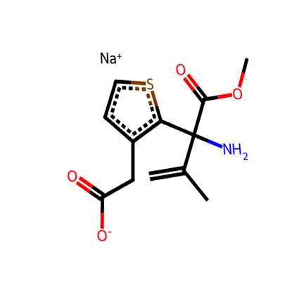 C=C(C)C(N)(C(=O)OC)c1sccc1CC(=O)[O-].[Na+]